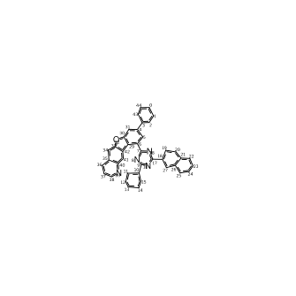 c1ccc(-c2cc(-c3nc(-c4ccccc4)nc(-c4ccc5ccccc5c4)n3)c3c(c2)oc2cc4cccnc4cc23)cc1